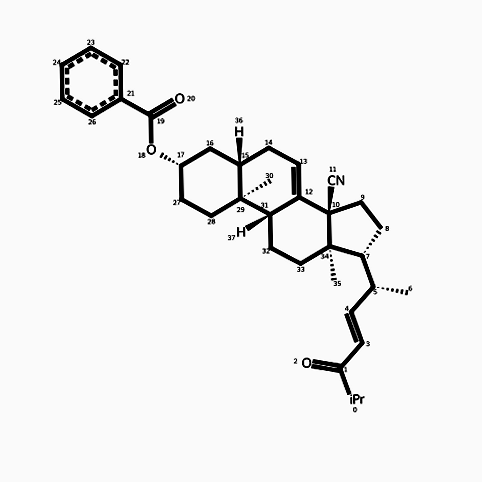 CC(C)C(=O)/C=C/[C@@H](C)[C@H]1CC[C@@]2(C#N)C3=CC[C@H]4C[C@@H](OC(=O)c5ccccc5)CC[C@]4(C)[C@H]3CC[C@]12C